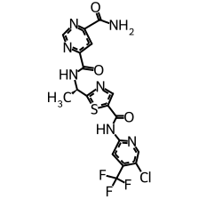 C[C@@H](NC(=O)c1cc(C(N)=O)ncn1)c1ncc(C(=O)Nc2cc(C(F)(F)F)c(Cl)cn2)s1